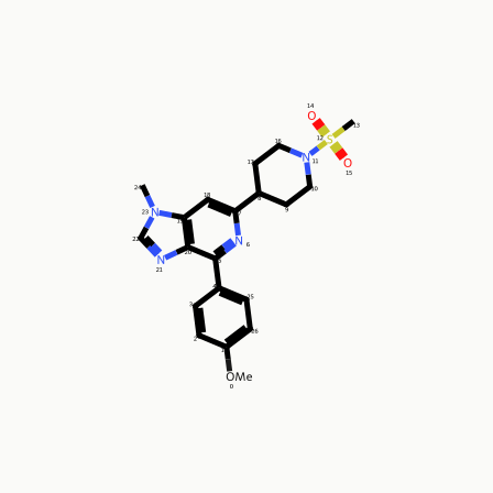 COc1ccc(-c2nc(C3CCN(S(C)(=O)=O)CC3)cc3c2ncn3C)cc1